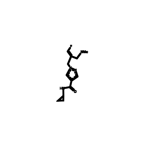 CNC/C(=C\F)Cn1cc(C(=O)NC2CC2)cn1